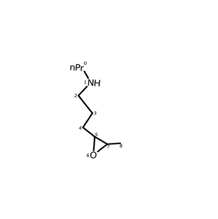 CCCNCCCC1OC1C